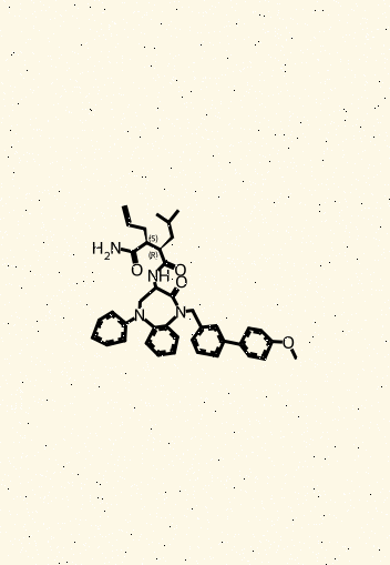 C=CC[C@H](C(N)=O)[C@@H](CC(C)C)C(=O)NC1CN(c2ccccc2)c2ccccc2N(Cc2cccc(-c3ccc(OC)cc3)c2)C1=O